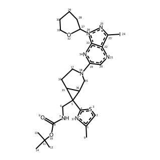 Cc1csc(C2(CNC(=O)OC(C)(C)C)C3CCN(c4cnc5c(I)nn(C6CCCCO6)c5n4)CC32)n1